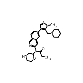 CCC(=O)N(c1cc2cc(-c3cnn(C)c3CN3CCCCC3)ccc2cn1)C1CNCCO1